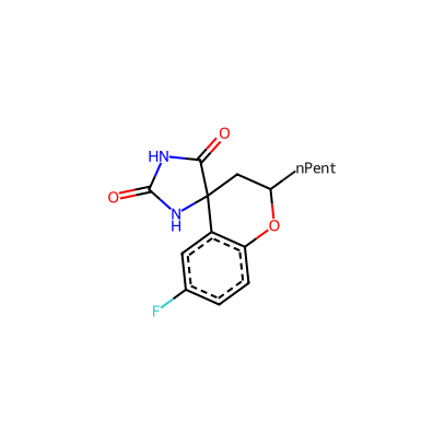 CCCCCC1CC2(NC(=O)NC2=O)c2cc(F)ccc2O1